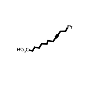 CC(C)CCC#CCCCCCCCC(=O)O